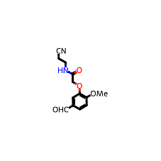 COc1ccc(C=O)cc1OCC(=O)NCCC#N